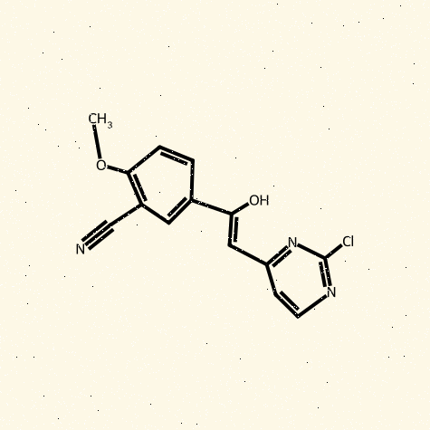 COc1ccc(C(O)=Cc2ccnc(Cl)n2)cc1C#N